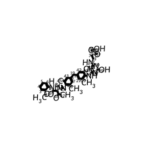 COc1ccccc1NC(=O)C(N=Nc1c(C)cc(Cc2cc(C)c(Nc3nc(O)nc(NCCS(=O)(=O)O)n3)c(C)c2)cc1C)C(C)=O